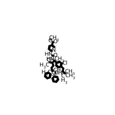 COC(=O)c1ccc(NC(=O)N[C@@](C)(c2ccc(CCC(C)(C)C)c(Cl)c2)C(CCC(C)(C)[Si](O)(c2ccccc2)c2ccccc2)C(C)C)nc1